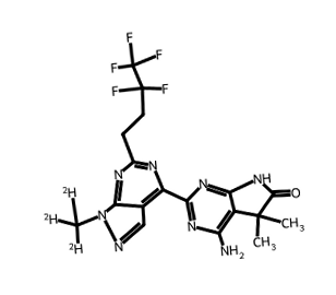 [2H]C([2H])([2H])n1ncc2c(-c3nc(N)c4c(n3)NC(=O)C4(C)C)nc(CCC(F)(F)C(F)(F)F)nc21